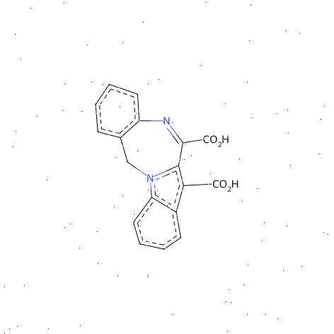 O=C(O)C1=Nc2ccccc2Cn2c1c(C(=O)O)c1ccccc12